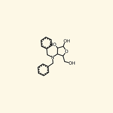 OCC1OC(O)C(O)C1N(Cc1ccccc1)Cc1ccccc1